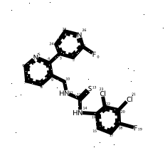 Fc1cc(-c2ncccc2CNC(=S)Nc2ccc(F)c(Cl)c2Cl)ccn1